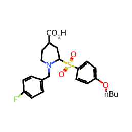 CCCCOc1ccc(S(=O)(=O)C2CC(C(=O)O)CCN2Cc2ccc(F)cc2)cc1